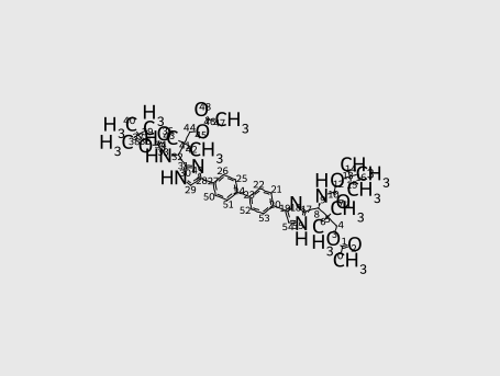 CC(=O)OCC(C)(C)[C@H](NC(=O)OC(C)(C)C)c1nc(-c2ccc(-c3ccc(-c4c[nH]c([C@@H](NC(=O)OC(C)(C)C)C(C)(C)COC(C)=O)n4)cc3)cc2)c[nH]1